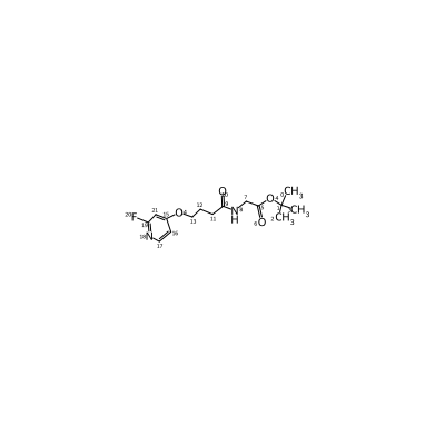 CC(C)(C)OC(=O)CNC(=O)CCCOc1ccnc(F)c1